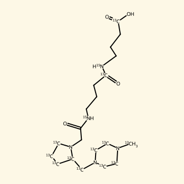 [13CH3]N1[13CH2][13CH2]N([13CH2][13CH]2[13CH2][13CH2][13CH2]N2CC(=O)[15NH]CCC[13C](=O)[15NH]CCC[13C](=O)O)[13CH2][13CH2]1